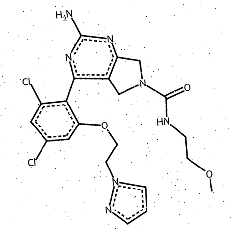 COCCNC(=O)N1Cc2nc(N)nc(-c3c(Cl)cc(Cl)cc3OCCn3cccn3)c2C1